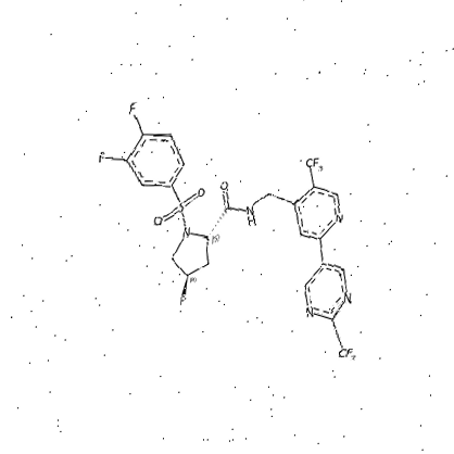 O=C(NCc1cc(-c2cnc(C(F)(F)F)nc2)ncc1C(F)(F)F)[C@@H]1C[C@@H](F)CN1S(=O)(=O)c1ccc(F)c(F)c1